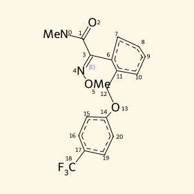 CNC(=O)/C(=N/OC)c1ccccc1COc1ccc(C(F)(F)F)cc1